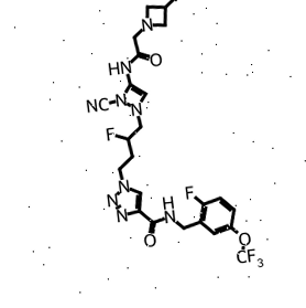 N#Cn1c(NC(=O)CN2CC(F)C2)cn1CC(F)CCn1cc(C(=O)NCc2cc(OC(F)(F)F)ccc2F)nn1